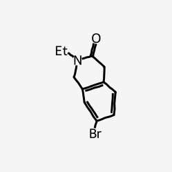 CCN1Cc2cc(Br)ccc2CC1=O